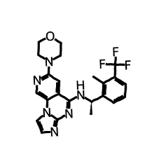 Cc1c([C@@H](C)Nc2nc3nccn3c3cnc(N4CCOCC4)cc23)cccc1C(F)(F)F